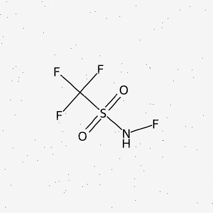 O=S(=O)(NF)C(F)(F)F